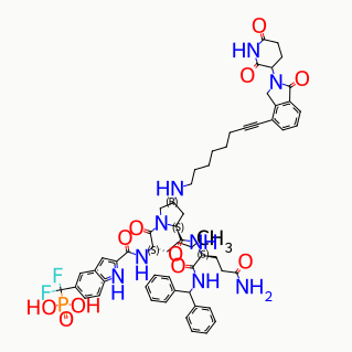 CCCC[C@H](NC(=O)c1cc2cc(C(F)(F)P(=O)(O)O)ccc2[nH]1)C(=O)N1C[C@H](NCCCCCCC#Cc2cccc3c2CN(C2CCC(=O)NC2=O)C3=O)C[C@H]1C(=O)N[C@@H](CCC(N)=O)C(=O)NC(c1ccccc1)c1ccccc1